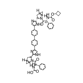 O=C(O)N[C@@H](C(=O)N1[C@@H]2C[C@@H]2C[C@H]1c1nc(-c2ccc(-c3ccc(-c4cnc([C@@H]5C[C@@H]6C[C@H]6N5C(=O)[C@H](NC(=O)OC5CCC5)c5ccccc5)[nH]4)cc3)cc2)c[nH]1)c1ccccc1